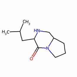 CC(C)CC1NCC2CCCN2C1=O